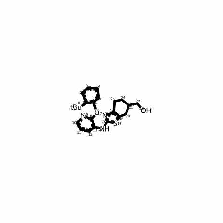 CC(C)(C)c1ccccc1Oc1ncccc1Nc1nc2c(s1)CC(CO)CC2